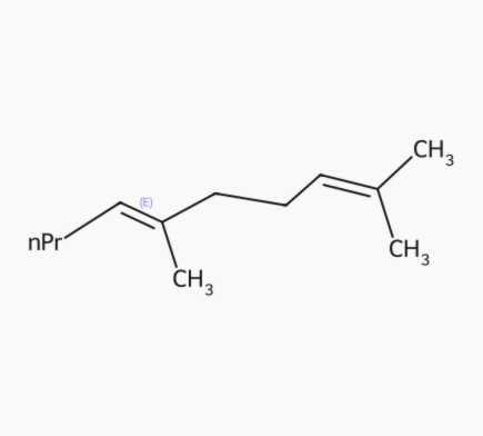 [CH2]CC/C=C(\C)CCC=C(C)C